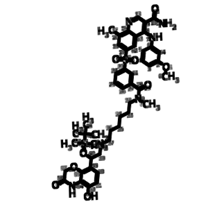 COc1cccc(Nc2c(C(N)=O)cnc3c(C)cc(S(=O)(=O)c4cccc(C(=O)N(C)CCCCCCNCC(O[Si](C)(C)C(C)(C)C)c5ccc(O)c6c5OCC(=O)N6)c4)cc23)c1